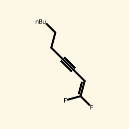 [CH2]CCCCCC#CC=C(F)F